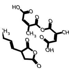 C/C(=C/C(=O)O)C(=O)OC(=O)/C(C)=C\C(=O)O.CC/C=C/C1CC(=O)OC1=O